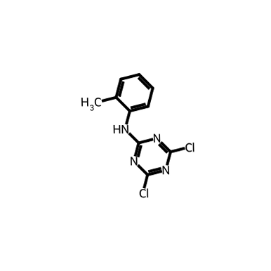 Cc1ccccc1Nc1nc(Cl)nc(Cl)n1